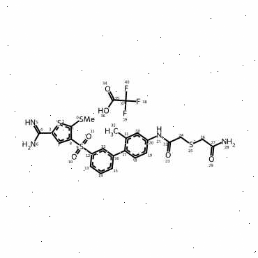 CSc1sc(C(=N)N)cc1S(=O)(=O)c1cccc(-c2ccc(NC(=O)CSCC(N)=O)cc2C)c1.O=C(O)C(F)(F)F